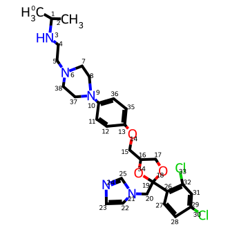 CC(C)NCCN1CCN(c2ccc(OCC3COC(Cn4ccnc4)(c4ccc(Cl)cc4Cl)O3)cc2)CC1